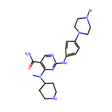 CC(=O)N1CCN(c2ccc(Nc3ncc(C(N)=O)c(N(C)C4CCNCC4)n3)cc2)CC1